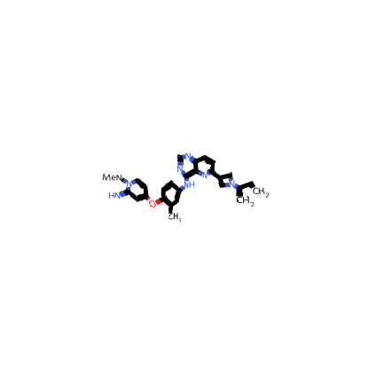 C=CC(=C)N1CC(c2ccc3ncnc(Nc4ccc(Oc5ccn(NC)c(=N)c5)c(C)c4)c3n2)C1